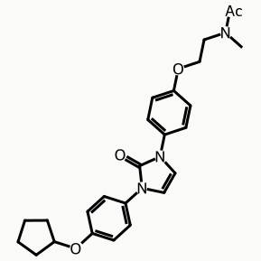 CC(=O)N(C)CCOc1ccc(-n2ccn(-c3ccc(OC4CCCC4)cc3)c2=O)cc1